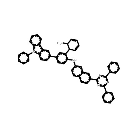 CC1C=CC=CC1c1cc(-c2ccc3c(c2)c2ccccc2n3-c2ccccc2)ccc1Nc1ccc2ccc(-c3nc(-c4ccccc4)nc(-c4ccccc4)n3)cc2c1